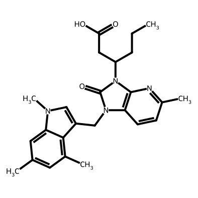 CCCC(CC(=O)O)n1c(=O)n(Cc2cn(C)c3cc(C)cc(C)c23)c2ccc(C)nc21